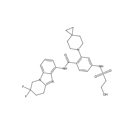 O=C(Nc1cccc2c1nc1n2CC(F)(F)CC1)c1ccc(NS(=O)(=O)CCO)cc1N1CCC2(CC1)CC2